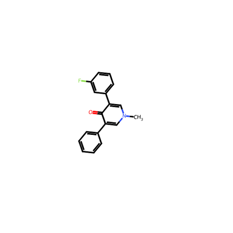 Cn1cc(-c2ccccc2)c(=O)c(-c2cccc(F)c2)c1